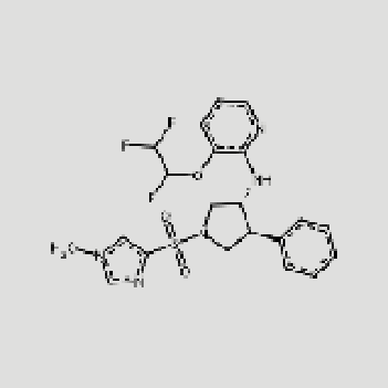 Cn1cnc(S(=O)(=O)N2C[C@H](Nc3ncccc3OC(F)C(F)F)[C@@H](c3ccccc3)C2)c1